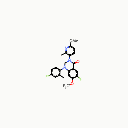 COc1ccc(N2CN(c3ccc(F)cc3C)c3cc(OC(F)(F)F)c(F)cc3C2=O)c(C)n1